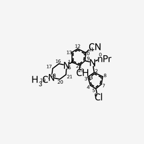 CCCN(c1ccc(Cl)cc1)c1c(C#N)ccc(N2CCN(C)CC2)c1C